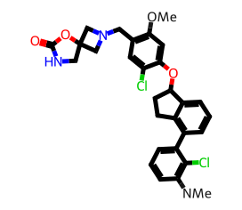 CNc1cccc(-c2cccc3c2CCC3Oc2cc(OC)c(CN3CC4(CNC(=O)O4)C3)cc2Cl)c1Cl